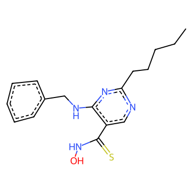 CCCCCc1ncc(C(=S)NO)c(NCc2ccccc2)n1